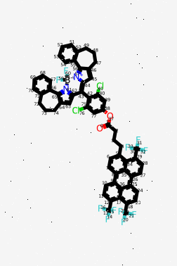 O=C(CCCc1ccc2c3ccc(C(F)(F)F)c4c(C(F)(F)F)ccc(c5ccc(C(F)(F)F)c1c25)c43)Oc1cc(Cl)c(C2=C3C=C4CCCc5ccccc5C4=[N+]3[B-](F)(F)n3c2cc2c3-c3ccccc3CCC2)c(Cl)c1